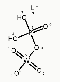 O=P(O)(O)[O][W](=[O])(=[O])[O-].[Li+]